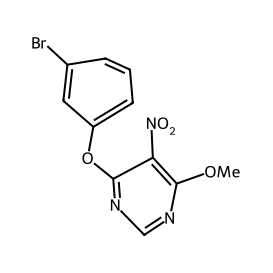 COc1ncnc(Oc2cccc(Br)c2)c1[N+](=O)[O-]